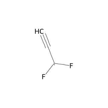 C#C[C](F)F